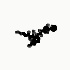 CCCOCCC(=O)N(C)[C@@H](C)c1c(NC(=O)Nc2cnc(-n3nccn3)c(Cl)c2)cnc2cc(Cl)nn12